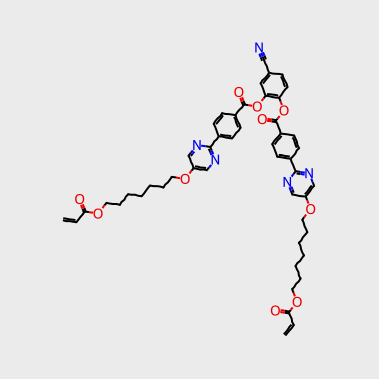 C=CC(=O)OCCCCCCCOc1cnc(-c2ccc(C(=O)Oc3ccc(C#N)cc3OC(=O)c3ccc(-c4ncc(OCCCCCCCOC(=O)C=C)cn4)cc3)cc2)nc1